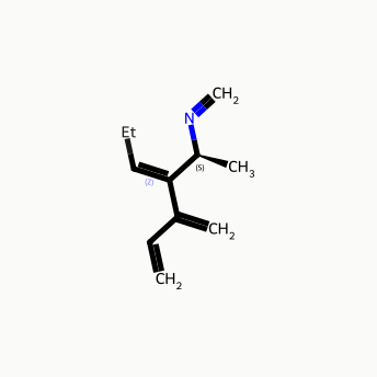 C=CC(=C)/C(=C/CC)[C@H](C)N=C